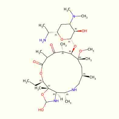 CC[C@H]1OC(=O)C(C)C(=O)[C@H](C)[C@@H](O[C@@H]2O[C@H](C(C)N)CC(N(C)C)[C@H]2O)[C@](C)(OC)C[C@@H](C)CN[C@H](C)[C@H]2NC(O)O[C@@]21C